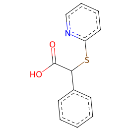 O=C(O)C(Sc1ccccn1)c1ccccc1